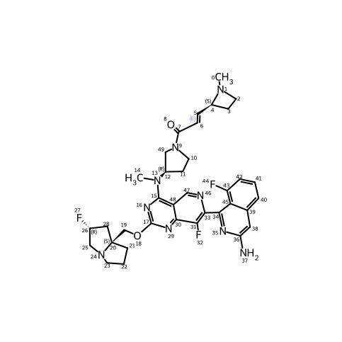 CN1CC[C@H]1/C=C/C(=O)N1CC[C@@H](N(C)c2nc(OC[C@@]34CCCN3C[C@H](F)C4)nc3c(F)c(-c4nc(N)cc5cccc(F)c45)ncc23)C1